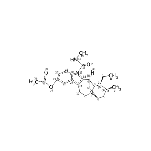 CC[C@@H]1C2[C@H]3CC(C[C@@H]1C)N2CCc1c3n(C(=O)NC)c2ccc(OC(C)=O)cc12